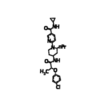 CCCC1CC(NC(=O)C(C)Oc2ccc(Cl)cc2)CCN1c1ccc(C(=O)NC2CC2)cn1